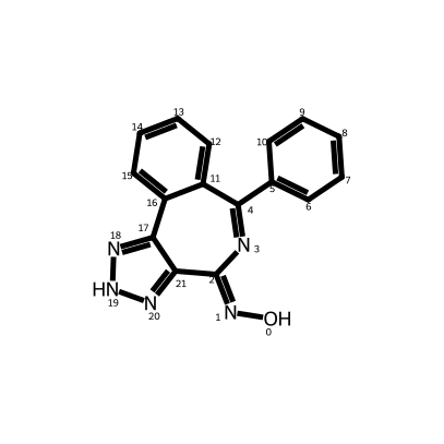 O/N=c1\nc(-c2ccccc2)c2ccccc2c2n[nH]nc12